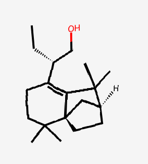 CC[C@H](CO)C1=C2C(C)(C)[C@H]3CC[C@@]2(C3)C(C)(C)CC1